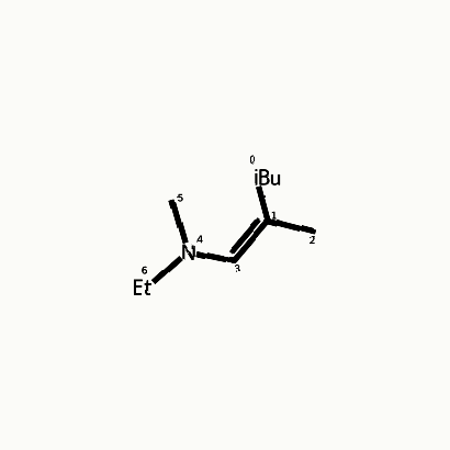 CCC(C)/C(C)=C\N(C)CC